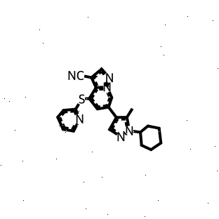 Cc1c(-c2cc(Sc3ccccn3)c3c(C#N)cnn3c2)cnn1C1CCCCC1